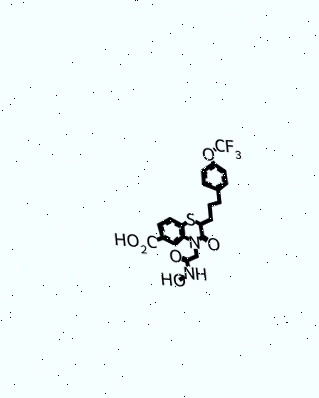 O=C(CN1C(=O)C(CCCc2ccc(OC(F)(F)F)cc2)Sc2ccc(C(=O)O)cc21)NO